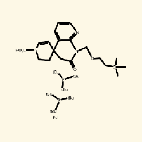 CC(C)(C)P(C(C)(C)C)C(C)(C)C.CC(C)(C)P(C(C)(C)C)C(C)(C)C.C[Si](C)(C)CCOCN1C(=O)CC2(C=CN(C(=O)O)CC2)c2cccnc21.[Pd]